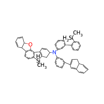 C[SiH2]c1ccccc1-c1cccc(N(c2cccc(C3=CCC4C=CC=CC4=C3)c2)C2C=CC3=C(C2)[SiH](C)c2ccc4c(c23)OC2C=CC=CC42)c1